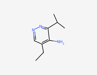 CCc1cnnc(C(C)C)c1N